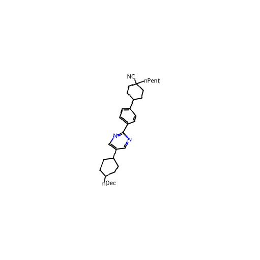 CCCCCCCCCCC1CCC(c2cnc(-c3ccc(C4CCC(C#N)(CCCCC)CC4)cc3)nc2)CC1